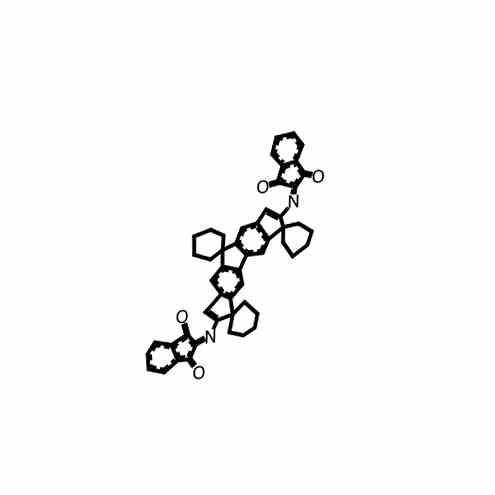 O=c1c(=NC2=Cc3cc4c(cc3C23CCCCC3)-c2cc3c(cc2C42CCCCC2)C=C(N=c2c(=O)c4ccccc4c2=O)C32CCCCC2)c(=O)c2ccccc12